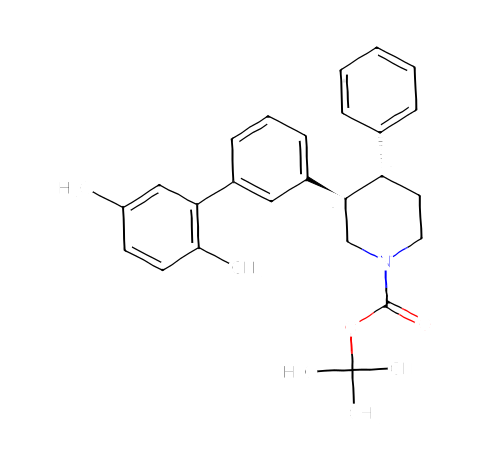 Cc1ccc(C)c(-c2cccc([C@@H]3CN(C(=O)OC(C)(C)C)CC[C@H]3c3ccccc3)c2)c1